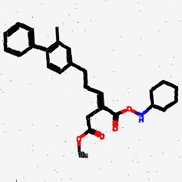 Cc1cc(CC/C=C(\CC(=O)OC(C)(C)C)C(=O)ONC2CCCCC2)ccc1-c1ccccc1